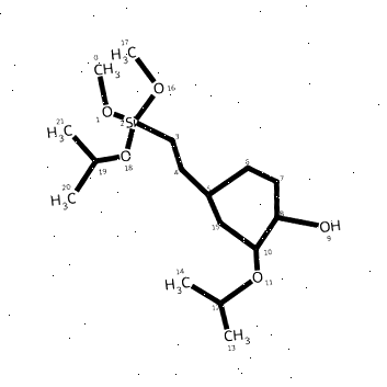 CO[Si](CCC1CCC(O)C(OC(C)C)C1)(OC)OC(C)C